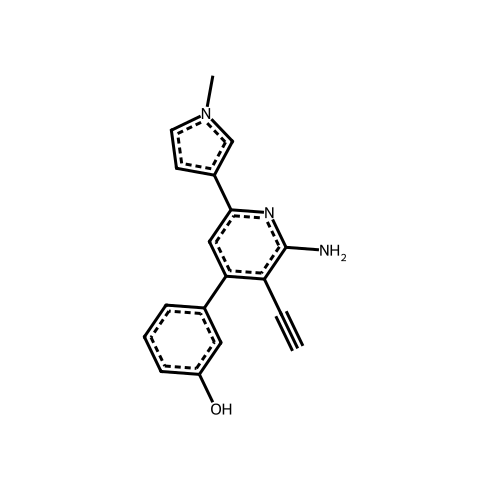 C#Cc1c(-c2cccc(O)c2)cc(-c2ccn(C)c2)nc1N